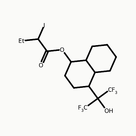 CCC(I)C(=O)OC1CCC(C(O)(C(F)(F)F)C(F)(F)F)C2CCCCC12